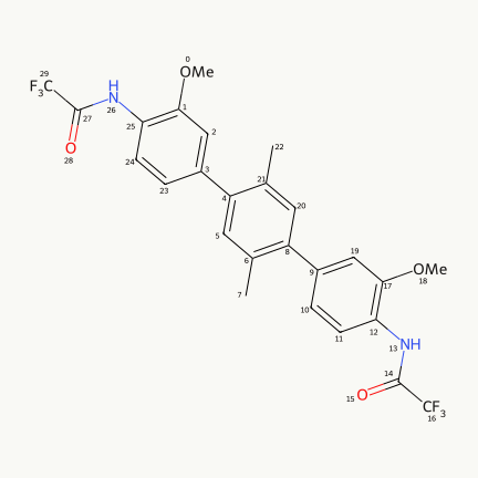 COc1cc(-c2cc(C)c(-c3ccc(NC(=O)C(F)(F)F)c(OC)c3)cc2C)ccc1NC(=O)C(F)(F)F